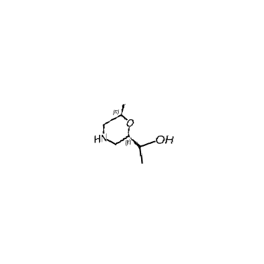 CC(O)[C@H]1CNC[C@@H](C)O1